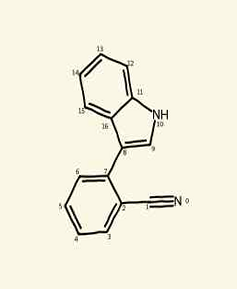 N#Cc1ccccc1-c1c[nH]c2ccccc12